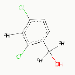 [2H]c1c(Cl)ccc(C([2H])([2H])O)c1Cl